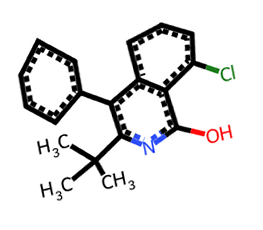 CC(C)(C)c1nc(O)c2c(Cl)cccc2c1-c1ccccc1